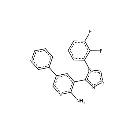 Nc1ncc(-c2cccnc2)cc1-c1nncn1-c1cccc(F)c1F